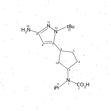 CC(C)N(C(=O)O)C1CCC(c2cc(N)nn2C(C)(C)C)C1